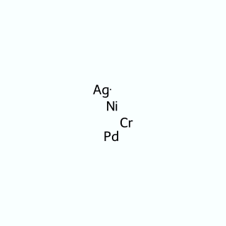 [Ag].[Cr].[Ni].[Pd]